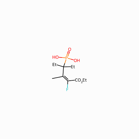 CCOC(=O)C(F)=C(C)C(CC)(CC)P(=O)(O)O